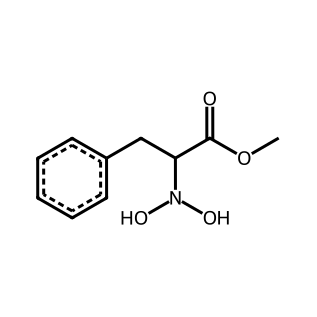 COC(=O)C(Cc1ccccc1)N(O)O